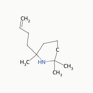 C=CCCC1(C)CCCC(C)(C)N1